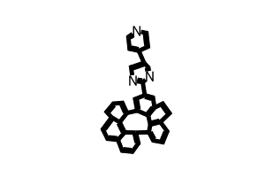 c1cc2ccc3cccc4c5cc(-c6ncc(-c7ccncc7)cn6)cc6ccc7cccc(c(c1)c2c34)c7c65